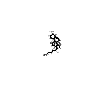 CC(C)CCC[C@@H](C)[C@H]1CC[C@H]2C3CC=C4C[C@@H](Cl)CC[C@]4(C)[C@H]3CC[C@]12C